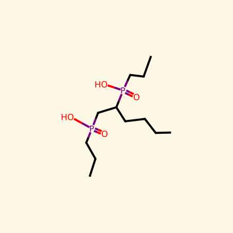 CCCCC(CP(=O)(O)CCC)P(=O)(O)CCC